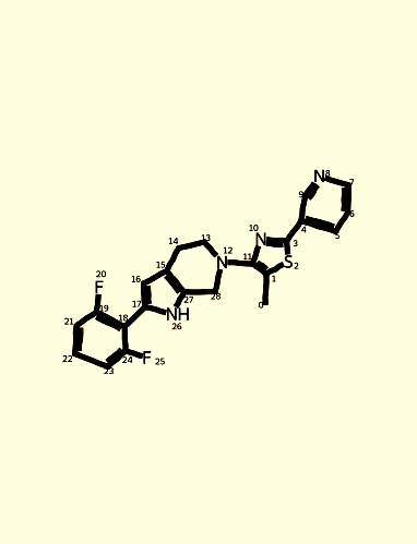 Cc1sc(-c2cccnc2)nc1N1CCc2cc(-c3c(F)cccc3F)[nH]c2C1